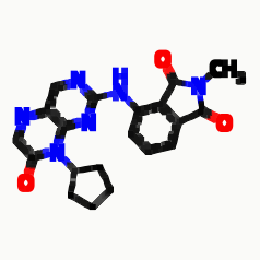 CN1C(=O)c2cccc(Nc3ncc4ncc(=O)n(C5CCCC5)c4n3)c2C1=O